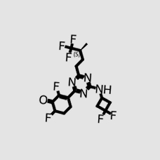 C[C@@H](CCc1nc(NC2CC(F)(F)C2)nc(C2=C(F)C(=O)C(F)CC2)n1)C(F)(F)F